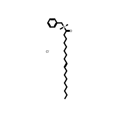 CCCCCCCCC=CCCCCCCCC(=O)[N+](C)(C)Cc1ccccc1.[Cl-]